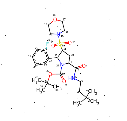 CC(C)(C)CCNC(=O)C1CC(S(=O)(=O)N2CCOCC2)C(c2ccccc2F)N1C(=O)OC(C)(C)C